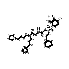 Cc1c(Cl)ccc(S(=O)(=O)N(CCc2ccccc2)CC(=O)NCC(=O)N(CCCCN2CCCC2)CCCc2cnc[nH]2)c1Cl